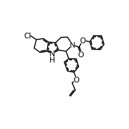 C=CCOc1ccc(C2c3[nH]c4c(c3CCN2C(=O)Oc2ccccc2)=CC(Cl)CC=4)cc1